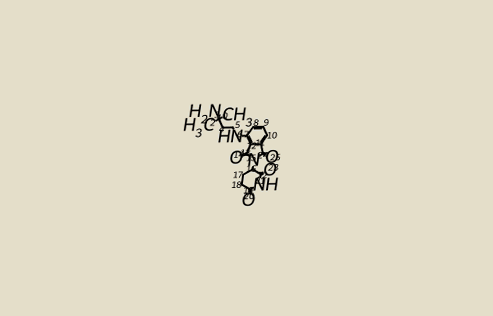 CC(C)(N)CCNc1cccc2c1C(=O)N(C1CCC(=O)NC1=O)C2=O